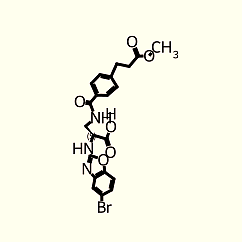 COC(=O)CCc1ccc(C(=O)NC[C@H](Nc2nc3cc(Br)ccc3o2)C(=O)O)cc1